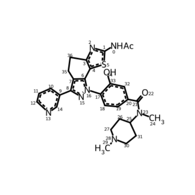 CC(=O)Nc1nc2c(s1)-c1c(c(-c3cccnc3)nn1-c1ccc(C(=O)N(C)C3CCN(C)CC3)cc1O)CC2